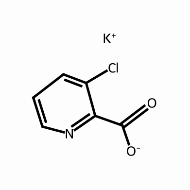 O=C([O-])c1ncccc1Cl.[K+]